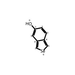 Oc1ccc2c[se]cc2c1